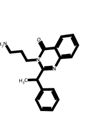 CC(c1ccccc1)c1nc2ccccc2c(=O)n1CCCN